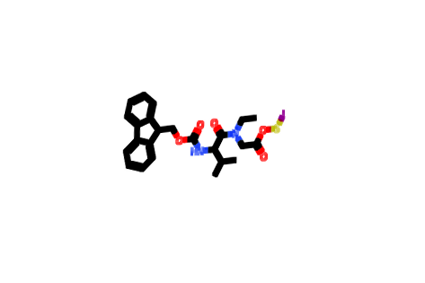 CCN(CC(=O)OSI)C(=O)C(NC(=O)OCC1c2ccccc2-c2ccccc21)C(C)C